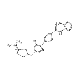 CN(C)[C@@H]1CCN(Cc2cnc(-c3ccc(C(=O)Nc4ccccc4N)cc3)c(Cl)c2)C1